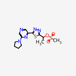 CC(OS(C)(=O)=O)c1nnc(-c2cncc(N3CCCC3)n2)s1